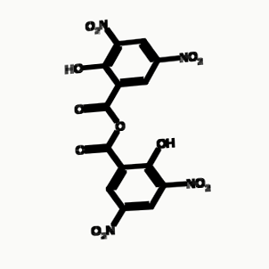 O=C(OC(=O)c1cc([N+](=O)[O-])cc([N+](=O)[O-])c1O)c1cc([N+](=O)[O-])cc([N+](=O)[O-])c1O